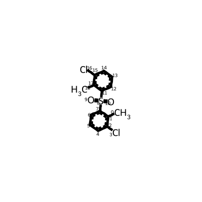 Cc1c(Cl)cccc1S(=O)(=O)c1cccc(Cl)c1C